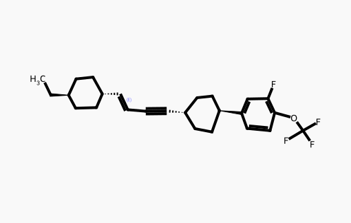 CC[C@H]1CC[C@H](/C=C/C#C[C@H]2CC[C@H](c3ccc(OC(F)(F)F)c(F)c3)CC2)CC1